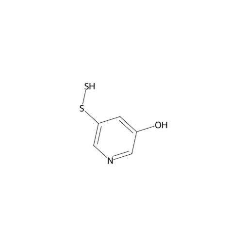 Oc1cncc(SS)c1